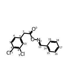 O=C(Cc1ccc(Cl)c(Cl)c1)ON=Cc1ccccc1